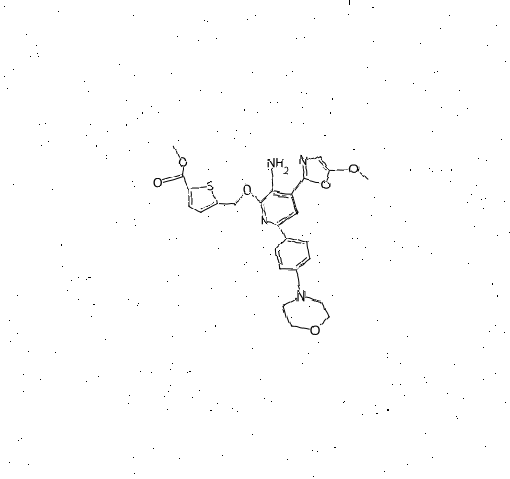 COC(=O)c1ccc(COc2nc(-c3ccc(N4CCOCC4)cc3)cc(-c3ncc(OC)o3)c2N)s1